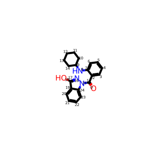 O=C(c1ccccc1NC1CCCCC1)n1nc(O)c2ccccc21